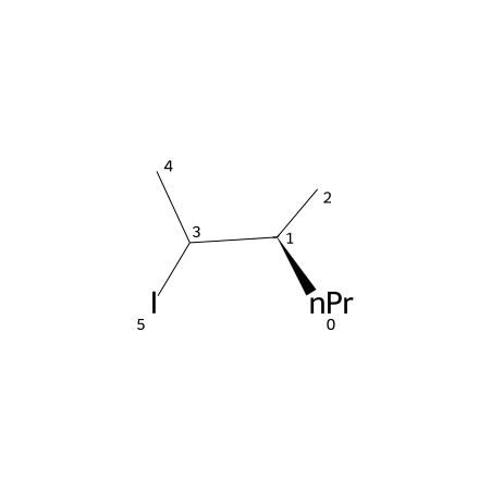 CCC[C@H](C)C(C)I